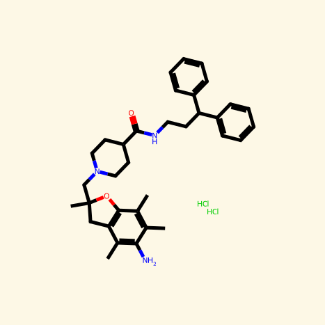 Cc1c(C)c2c(c(C)c1N)CC(C)(CN1CCC(C(=O)NCCC(c3ccccc3)c3ccccc3)CC1)O2.Cl.Cl